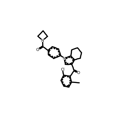 Cc1cccc(Cl)c1C(=O)c1cn(-c2ccc(C(=O)N3CCC3)cc2)c2c1CCCC2